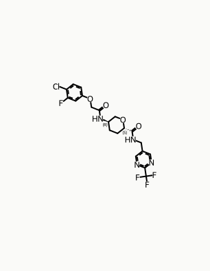 O=C(COc1ccc(Cl)c(F)c1)N[C@@H]1CC[C@@H](C(=O)NCc2cnc(C(F)(F)F)nc2)OC1